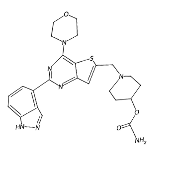 NC(=O)OC1CCN(Cc2cc3nc(-c4cccc5[nH]ncc45)nc(N4CCOCC4)c3s2)CC1